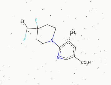 CCC(F)C1(F)CCN(c2ncc(C(=O)O)cc2C)CC1